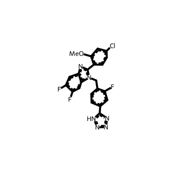 COc1cc(Cl)ccc1-c1nc2cc(F)c(F)cc2n1Cc1ccc(-c2nnn[nH]2)cc1F